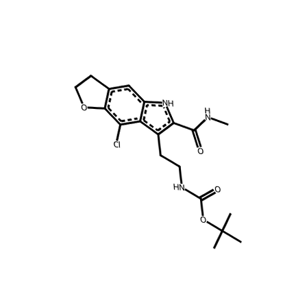 CNC(=O)c1[nH]c2cc3c(c(Cl)c2c1CCNC(=O)OC(C)(C)C)OCC3